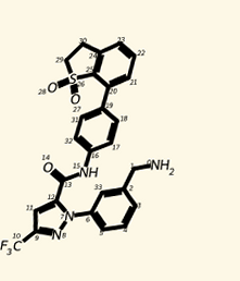 NCc1cccc(-n2nc(C(F)(F)F)cc2C(=O)Nc2ccc(-c3cccc4c3S(=O)(=O)CC4)cc2)c1